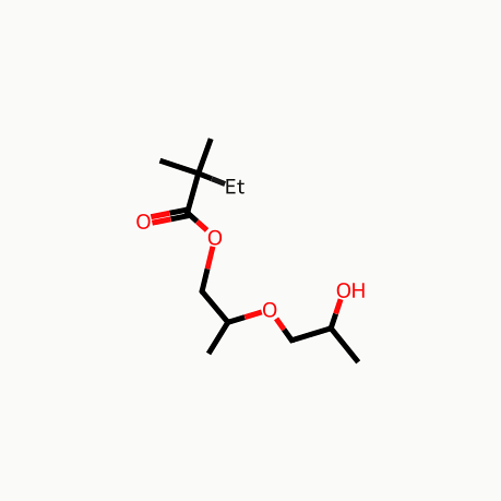 CCC(C)(C)C(=O)OCC(C)OCC(C)O